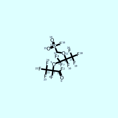 O=C(F)C(F)(OC(F)(F)C(F)(OCS(=O)(=O)F)C(F)(F)F)C(F)(F)F